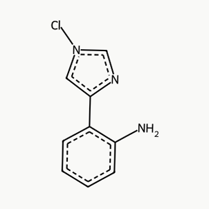 Nc1ccccc1-c1cn(Cl)cn1